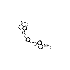 N[C@@H]1CCCc2c(OCCc3ccc(CCOc4cccc5c4CCC[C@H]5N)cc3)cccc21